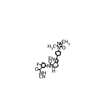 CCn1c(-c2ccc(-n3c(C)nn(C)c3=O)cc2)cc2c1C(C(=O)Nc1ccc(F)c(C(=O)NCC#N)c1)NC=C2